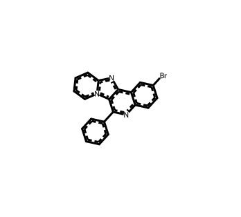 Brc1ccc2nc(-c3ccccc3)c3c(nc4ccccn43)c2c1